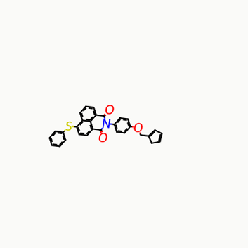 O=C1c2cccc3c(Sc4ccccc4)ccc(c23)C(=O)N1c1ccc(OCC2=CC=CC2)cc1